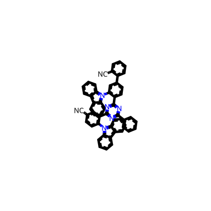 N#Cc1ccc(-n2c3ccccc3c3ccccc32)c(-c2nc(-c3ccccc3)nc(-c3ccc(-c4ccccc4C#N)cc3-n3c4ccccc4c4ccccc43)n2)c1